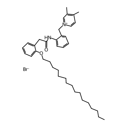 CCCCCCCCCCCCCCCCOc1ccccc1CC(=O)Nc1ccccc1C[n+]1ccc(C)c(C)c1.[Br-]